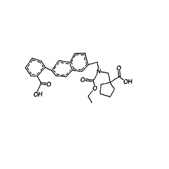 CCOC(=O)N(Cc1ccc2cc(-c3ccccc3C(=O)O)ccc2c1)CC1(C(=O)O)CCCC1